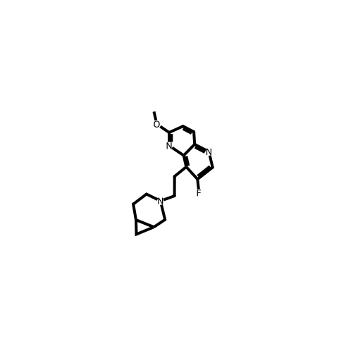 COc1ccc2ncc(F)c(CCN3CCC4CC4C3)c2n1